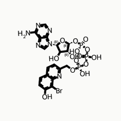 Nc1ncnc2c1ncn2[C@@H]1O[C@H](OP(=O)(O)OP(=O)(O)OP(=O)(O)OCc2ccc3ccc(O)c(Br)c3n2)[C@H](O)C1O